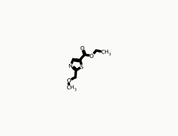 CCOC(=O)c1cnc(COC)s1